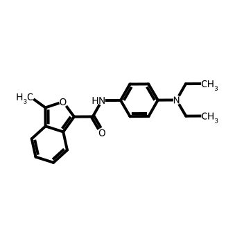 CCN(CC)c1ccc(NC(=O)c2oc(C)c3ccccc23)cc1